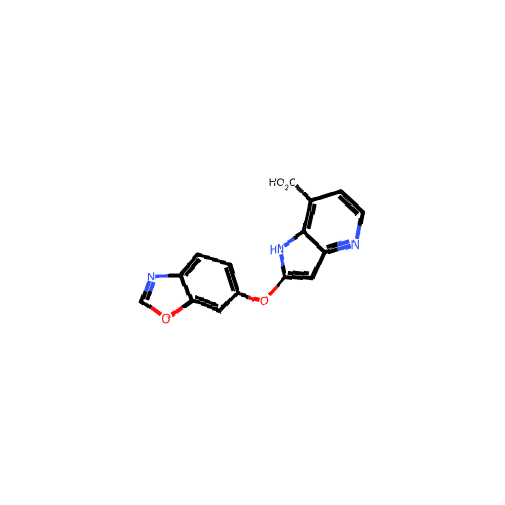 O=C(O)c1ccnc2cc(Oc3ccc4ncoc4c3)[nH]c12